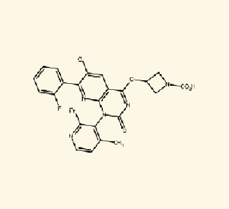 Cc1ccnc(C(C)C)c1-n1c(=O)nc(OC2CN(C(=O)O)C2)c2cc(Cl)c(-c3ccccc3F)nc21